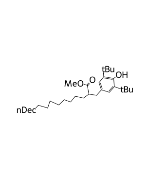 CCCCCCCCCCCCCCCCCCC(Cc1cc(C(C)(C)C)c(O)c(C(C)(C)C)c1)C(=O)OC